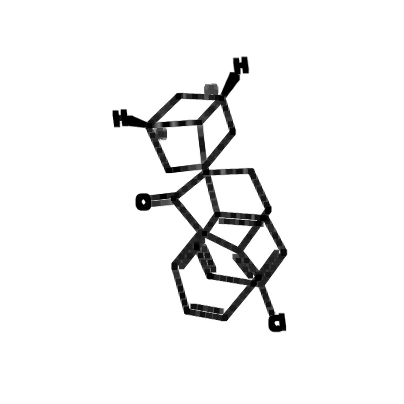 O=C1c2ccccc2CCC1C1[C@@H]2CC(c3ccc(Cl)cc3)C[C@H]1C2